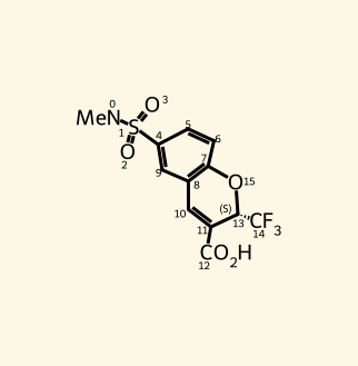 CNS(=O)(=O)c1ccc2c(c1)C=C(C(=O)O)[C@@H](C(F)(F)F)O2